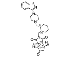 O=C1C[C@@H]2C[C@H]1[C@H]1C(=O)N(C[C@@H]3CCCC[C@H]3CN3CCN(c4nsc5ccccc45)CC3)C(=O)[C@@H]21